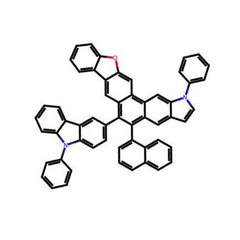 c1ccc(-n2ccc3cc4c(-c5cccc6ccccc56)c(-c5ccc6c(c5)c5ccccc5n6-c5ccccc5)c5cc6c(cc5c4cc32)oc2ccccc26)cc1